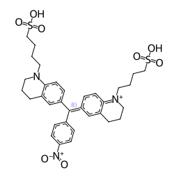 O=[N+]([O-])c1ccc(/C(c2ccc3c(c2)CCCN3CCCCS(=O)(=O)O)=c2/ccc3c(c2)CCC[N+]=3CCCCS(=O)(=O)O)cc1